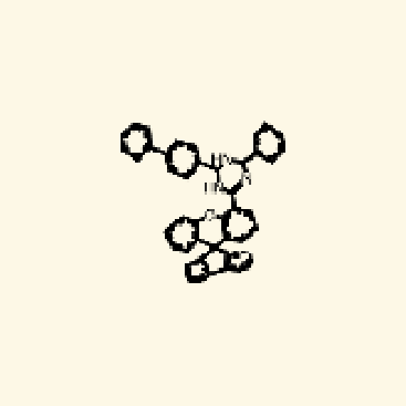 c1ccc(-c2ccc(C3NC(c4cccc5c4Oc4ccccc4C54c5ccccc5-c5ccccc54)=NC(c4ccccc4)N3)cc2)cc1